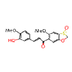 COc1ccc(C=CC(=O)c2cc3c(cc2OC)[S+]([O-])CO3)cc1O